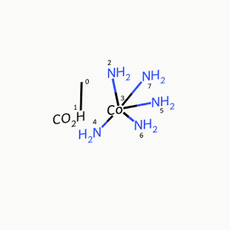 CC(=O)O.[NH2][Co]([NH2])([NH2])([NH2])[NH2]